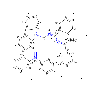 CN/C(=N\C(=N/Cn1c2ccccc2c2ccc(-c3ccccc3Nc3ccccc3)cc21)c1ccccc1)c1ccccc1